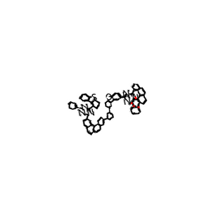 c1ccc(-c2nc(-c3ccc4ccc5ccc6cc(-c7cccc(-c8ccc9oc%10ccc(-c%11nc(-c%12ccccc%12)nc(-c%12cccc%13ccc%14ccc%15ccccc%15c%14c%12%13)n%11)cc%10c9c8)c7)ccc6c5c4c3)nc(-c3cccc4sc5ccccc5c34)n2)cc1